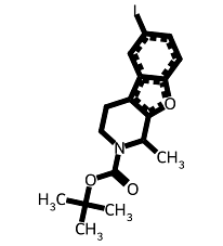 CC1c2oc3ccc(I)cc3c2CCN1C(=O)OC(C)(C)C